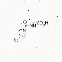 CCC1CCN(C(=O)NCC(=O)O)CC1